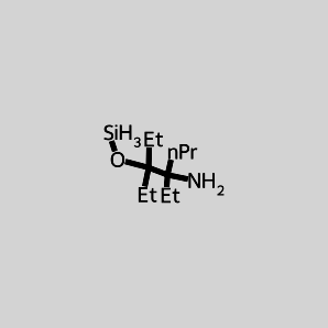 CCCC(N)(CC)C(CC)(CC)O[SiH3]